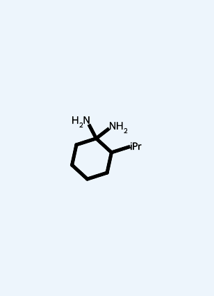 CC(C)C1CCCCC1(N)N